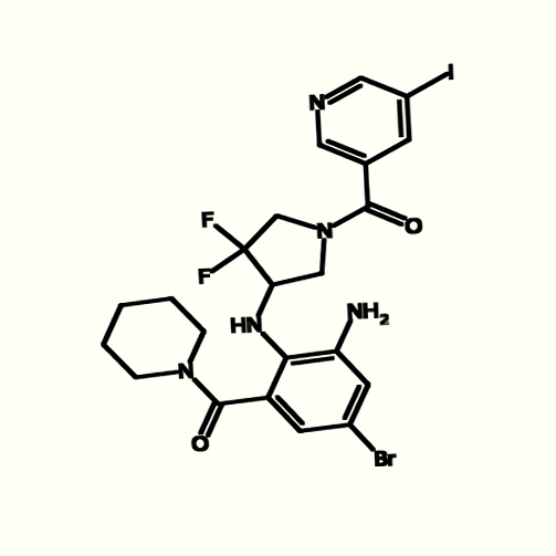 Nc1cc(Br)cc(C(=O)N2CCCCC2)c1NC1CN(C(=O)c2cncc(I)c2)CC1(F)F